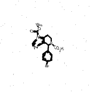 CC(C)(C)OC(=O)n1cnc2c1CCN(C(=O)O)C2c1ccc(Br)cc1